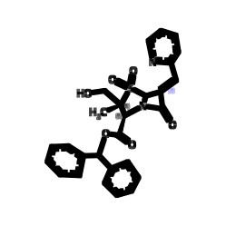 C[C@]1(CO)[C@H](C(=O)OC(c2ccccc2)c2ccccc2)N2C(=O)/C(=C/c3ccccn3)C2S1(=O)=O